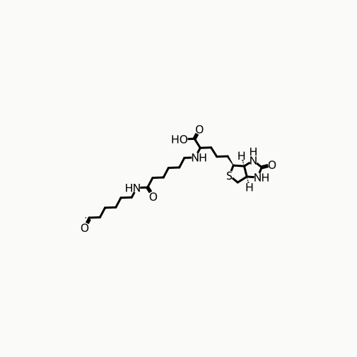 O=[C]CCCCCNC(=O)CCCCCNC(CCC[C@@H]1SC[C@@H]2NC(=O)N[C@@H]21)C(=O)O